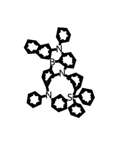 c1ccc(N2c3cccc(c3)[Si](c3ccccc3)(c3ccccc3)c3cccc(c3)N3c4cc2ccc4B2c4cc5ccccc5cc4N(c4ccccc4)c4cccc3c42)cc1